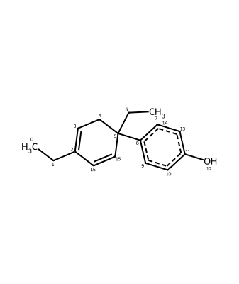 CCC1=CCC(CC)(c2ccc(O)cc2)C=C1